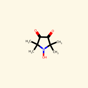 CC1(C)C(=O)C(=O)C(C)(C)N1O